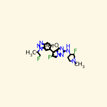 COc1nc(N[C@@H]2CCN(C)C[C@@H]2F)nn2cc(F)c(-c3ccc4nnn([C@H](C)CF)c4c3)c12